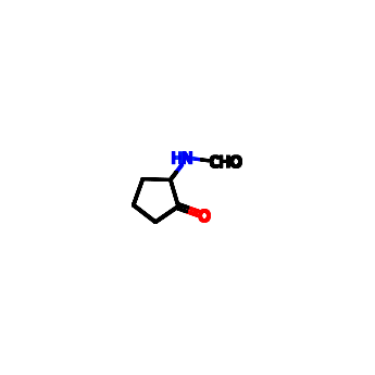 O=CNC1CCCC1=O